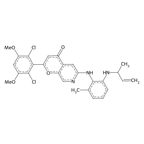 C=CC(C)Nc1cccc(C)c1Nc1cc2c(=O)cc(-c3c(Cl)c(OC)cc(OC)c3Cl)oc2cn1